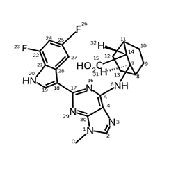 Cn1cnc2c(N[C@@H]3C4CCC(CC4)[C@H]3C(=O)O)nc(-c3c[nH]c4c(F)cc(F)cc34)nc21